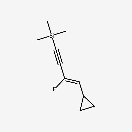 C[Si](C)(C)C#C/C(F)=C/C1CC1